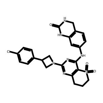 O=C1NCc2ccc(Nc3nc(N4CC(c5ccc(Cl)cc5)C4)nc4c3S(=O)(=O)CCC4)cc2N1